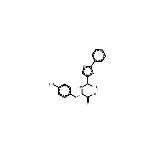 CC(N[C@@H](Cc1ccc(O)cc1)C(=O)O)c1coc(-c2ccccc2)n1